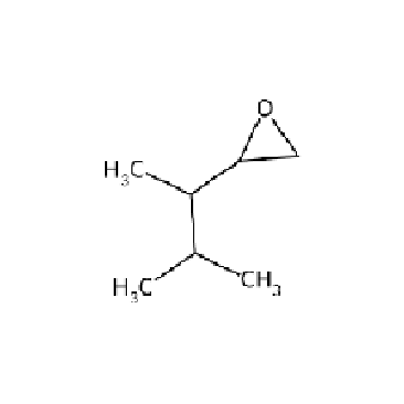 CC(C)C(C)C1CO1